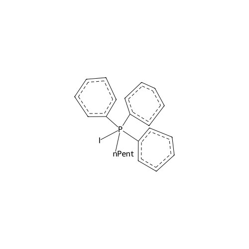 CCCCCP(I)(c1ccccc1)(c1ccccc1)c1ccccc1